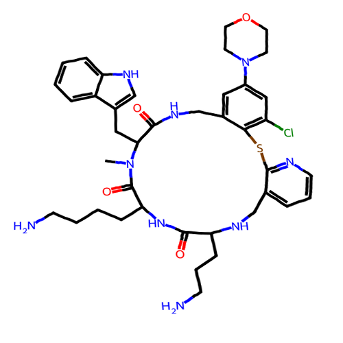 CN1C(=O)C(CCCCN)NC(=O)C(CCCN)NCc2cccnc2Sc2c(Cl)cc(N3CCOCC3)cc2CNC(=O)C1Cc1c[nH]c2ccccc12